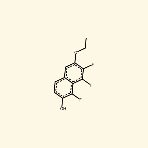 CCOc1cc2ccc(O)c(F)c2c(F)c1F